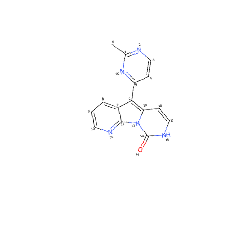 Cc1nccc(-c2c3cccnc3n3c(=O)[nH]ccc23)n1